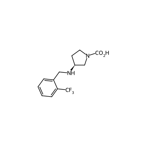 O=C(O)N1CC[C@H](NCc2ccccc2C(F)(F)F)C1